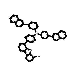 CC(C)(C)c1cccc2c1oc1c(-c3ccc(N(c4ccc(-c5ccc6ccccc6c5)cc4)c4cccc(-c5ccc6ccccc6c5)c4)cc3)cccc12